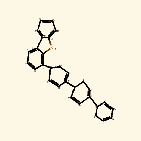 C1=CCC(C2=CCC(C3=CCC(c4cccc5c4sc4ccccc45)C=C3)C=C2)C=C1